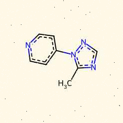 Cc1ncnn1-c1ccncc1